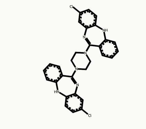 Clc1ccc2c(c1)N=C(N1CCN(C3=Nc4cc(Cl)ccc4Nc4ccccc43)CC1)c1ccccc1N2